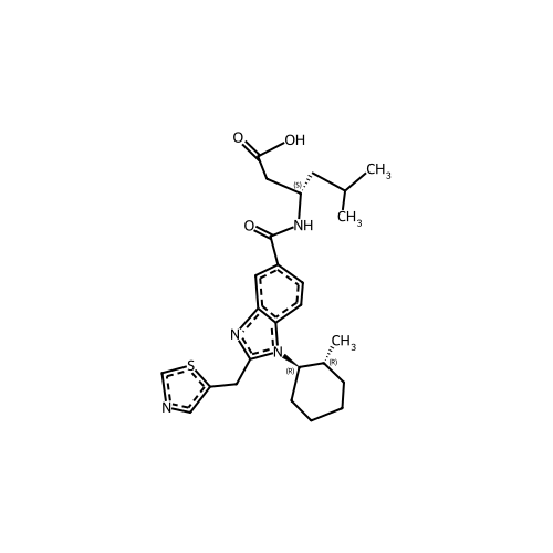 CC(C)C[C@@H](CC(=O)O)NC(=O)c1ccc2c(c1)nc(Cc1cncs1)n2[C@@H]1CCCC[C@H]1C